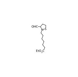 CCOC(=O)CCCCCCN1SCCC1C=O